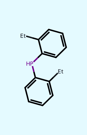 CCc1ccccc1Pc1ccccc1CC